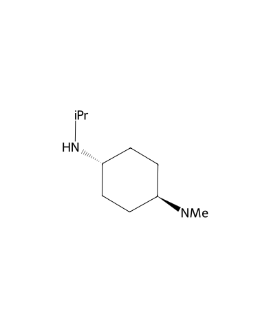 CN[C@H]1CC[C@H](NC(C)C)CC1